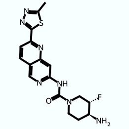 Cc1nnc(-c2ccc3cnc(NC(=O)N4CC[C@H](N)[C@@H](F)C4)cc3n2)s1